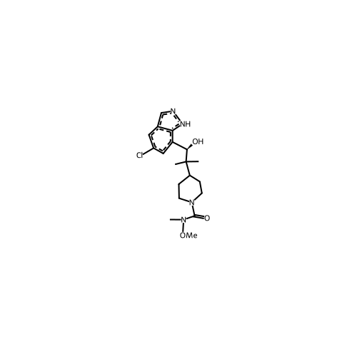 CON(C)C(=O)N1CCC(C(C)(C)[C@H](O)c2cc(Cl)cc3cn[nH]c23)CC1